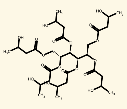 CC(O)CC(=O)OC[C@@H](OC(=O)CC(C)O)[C@@H](OC(=O)CC(C)O)[C@H](OC(=O)CC(C)O)[C@@H](COC(=O)CC(C)O)OC(=O)CC(C)O